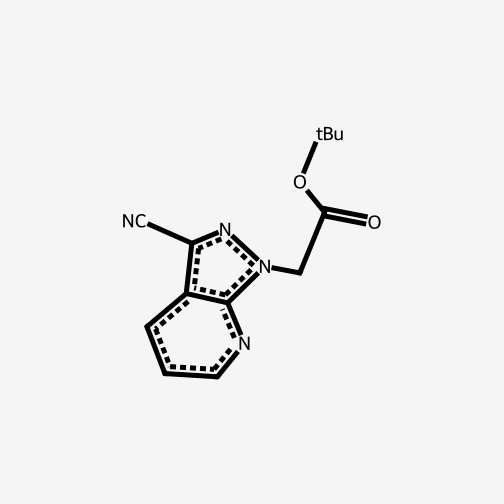 CC(C)(C)OC(=O)Cn1nc(C#N)c2cccnc21